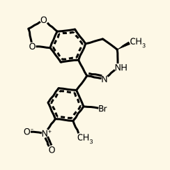 Cc1c([N+](=O)[O-])ccc(C2=NN[C@H](C)Cc3cc4c(cc32)OCO4)c1Br